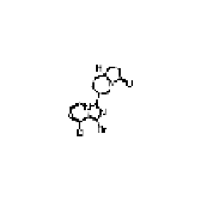 O=C1CC[C@@H]2CC[C@H](c3nc(Br)c4c(Cl)nccn34)CN12